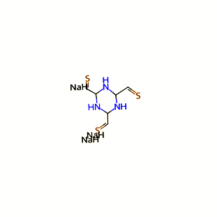 S=CC1NC(C=S)NC(C=S)N1.[NaH].[NaH].[NaH]